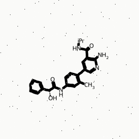 Cc1cc(NC(=O)[C@H](O)c2ccccc2)ccc1-c1cnc(N)c(C(=O)NC(C)C)c1